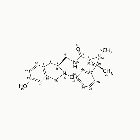 C[C@H]1[C@@H](C(=O)NC[C@@H]2Cc3ccc(O)cc3CN2C)[C@@]1(C)c1ccccc1